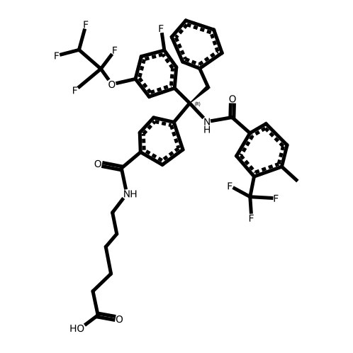 Cc1ccc(C(=O)N[C@](Cc2ccccc2)(c2ccc(C(=O)NCCCCCC(=O)O)cc2)c2cc(F)cc(OC(F)(F)C(F)F)c2)cc1C(F)(F)F